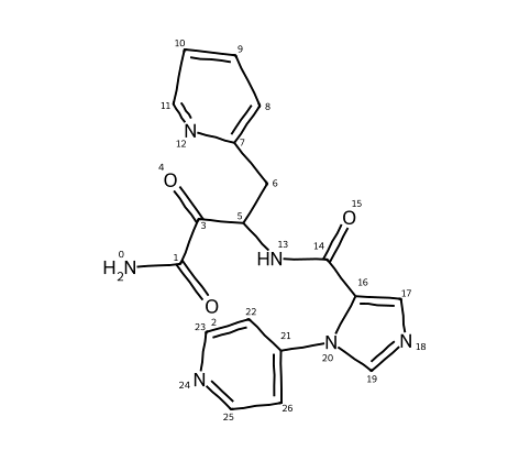 NC(=O)C(=O)C(Cc1ccccn1)NC(=O)c1cncn1-c1ccncc1